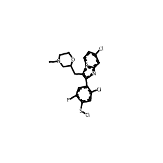 CN1CCOC(Cc2c(-c3cc(F)c(SCl)cc3Cl)nc3cc(Cl)ccn23)C1